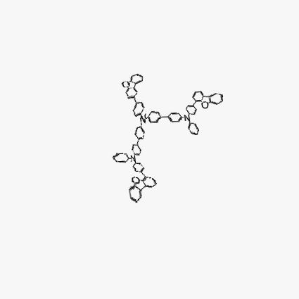 c1ccc(N(c2ccc(-c3ccc(N(c4ccc(-c5ccc(N(c6ccccc6)c6ccc(-c7cccc8c7oc7ccccc78)cc6)cc5)cc4)c4ccc(-c5ccc6oc7ccccc7c6c5)cc4)cc3)cc2)c2ccc(-c3cccc4c3oc3ccccc34)cc2)cc1